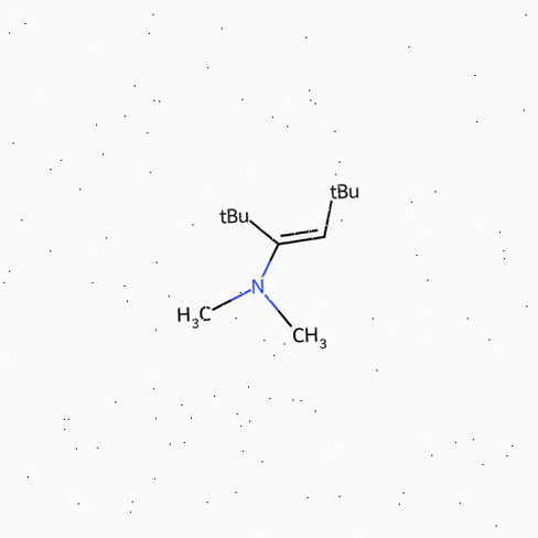 CN(C)/C(=C/C(C)(C)C)C(C)(C)C